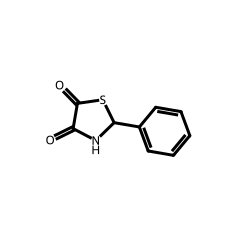 O=C1NC(c2ccccc2)SC1=O